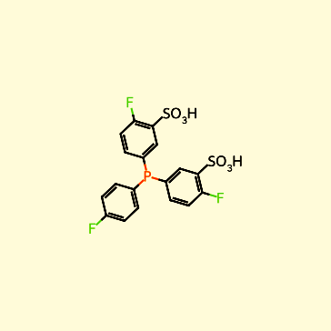 O=S(=O)(O)c1cc(P(c2ccc(F)cc2)c2ccc(F)c(S(=O)(=O)O)c2)ccc1F